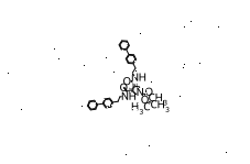 CC(C)(C)OC(=O)N1C[C@@H](C(=O)NCCc2ccc(-c3ccccc3)cc2)[C@H](C(=O)NCCc2ccc(-c3ccccc3)cc2)C1